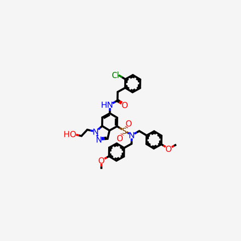 COc1ccc(CN(Cc2ccc(OC)cc2)S(=O)(=O)C2=CC(NC(=O)Cc3ccccc3Cl)=CC3C2C=NN3CCO)cc1